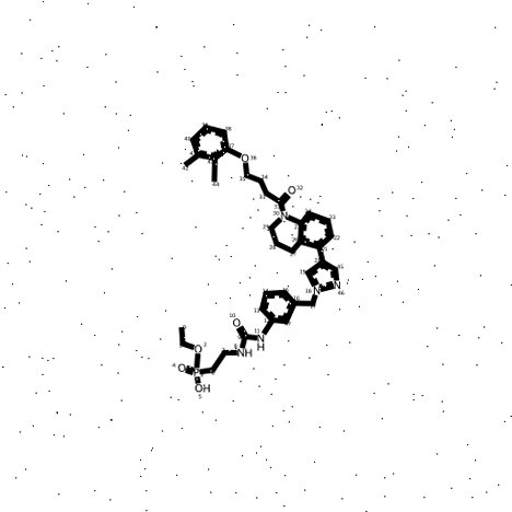 CCOP(=O)(O)CCNC(=O)Nc1cccc(Cn2cc(-c3cccc4c3CCCN4C(=O)CCCOc3cccc(C)c3C)cn2)c1